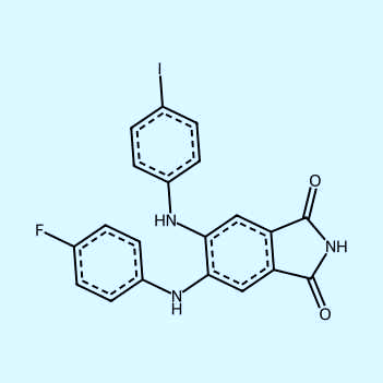 O=C1NC(=O)c2cc(Nc3ccc(I)cc3)c(Nc3ccc(F)cc3)cc21